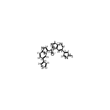 Cn1cc(-c2cnc3cnn([S+]([O-])c4cnc5ccc(-c6ccsc6)cn45)c3c2)cn1